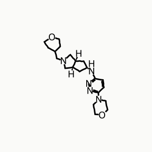 c1cc(N2CCOCC2)nnc1N[C@H]1C[C@@H]2CN(CC3CCOCC3)C[C@@H]2C1